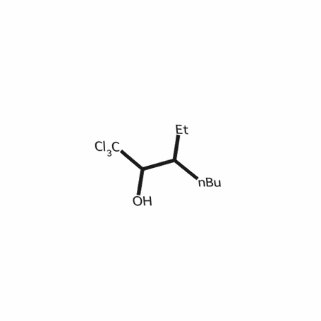 CCCCC(CC)C(O)C(Cl)(Cl)Cl